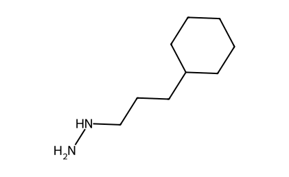 NNCCCC1CCCCC1